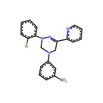 O=[N+]([O-])c1cccc(N2CC(c3ccccn3)=NN(c3ccccc3Br)C2)c1